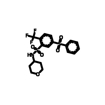 O=S(=O)(NC1CCOCC1)c1cc(S(=O)(=O)c2ccccc2)ccc1C(F)(F)F